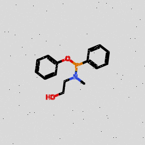 CN(CCO)P(Oc1ccccc1)c1ccccc1